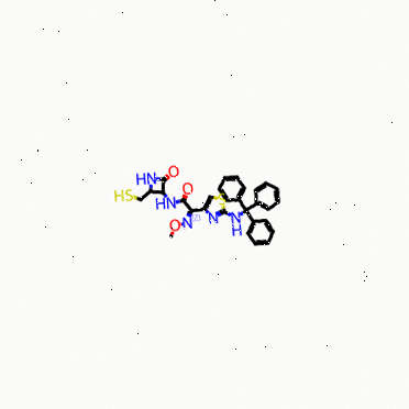 CO/N=C(\C(=O)NC1C(=O)NC1CS)c1csc(NC(c2ccccc2)(c2ccccc2)c2ccccc2)n1